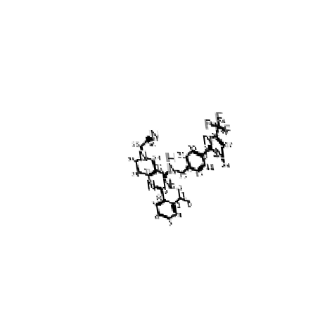 CC(C)c1ccccc1-c1nc2c(c(NCc3ccc(-c4nc(C(F)(F)F)cn4C)cc3)n1)CN(CC#N)CC2